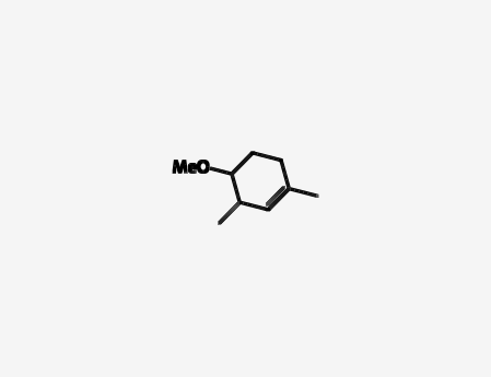 COC1CCC(C)=CC1C